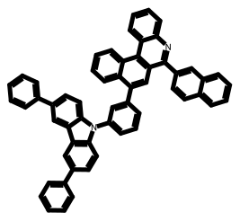 c1ccc(-c2ccc3c(c2)c2cc(-c4ccccc4)ccc2n3-c2cccc(-c3cc4c(-c5ccc6ccccc6c5)nc5ccccc5c4c4ccccc34)c2)cc1